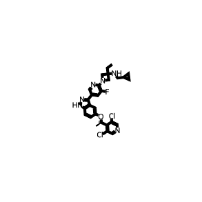 CCC1(NCC2CC2)CN(c2ncc(-c3n[nH]c4ccc(O[C@H](C)c5c(Cl)cncc5Cl)cc34)cc2F)C1